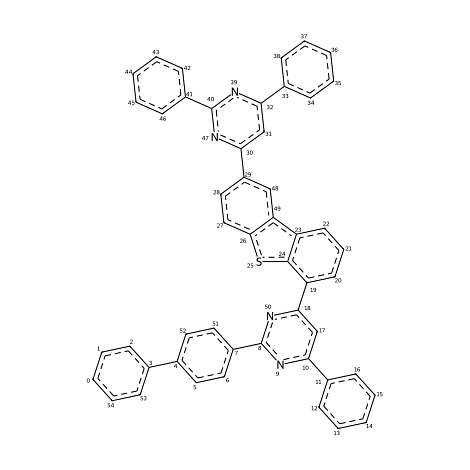 c1ccc(-c2ccc(-c3nc(-c4ccccc4)cc(-c4cccc5c4sc4ccc(-c6cc(-c7ccccc7)nc(-c7ccccc7)n6)cc45)n3)cc2)cc1